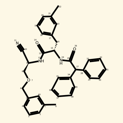 Cc1cccc(COC[C@@H](C#N)NC(=O)[C@H](Cc2cccc(C)c2)NC(=O)C(c2ccccc2)c2ccccc2)c1